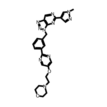 Cn1cc(-c2ncc3nnn(Cc4cccc(-c5ncc(OCCN6CCOCC6)cn5)c4)c3n2)cn1